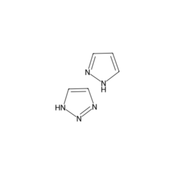 c1c[nH]nn1.c1cn[nH]c1